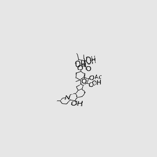 CC(=O)OC1C(OO)C2C3CCC4C(CN5CC(C)CCC5C4(C)O)C3CC23OC2C(OC(=O)C(C)(O)C(C)O)CCC3(C)C21